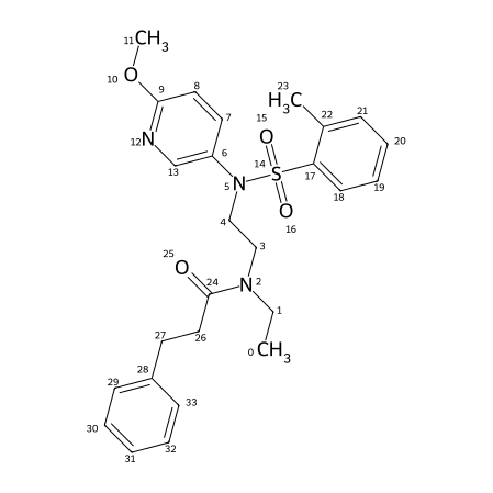 CCN(CCN(c1ccc(OC)nc1)S(=O)(=O)c1ccccc1C)C(=O)CCc1ccccc1